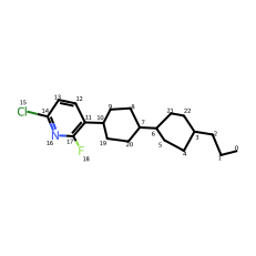 CCCC1CCC(C2CCC(c3ccc(Cl)nc3F)CC2)CC1